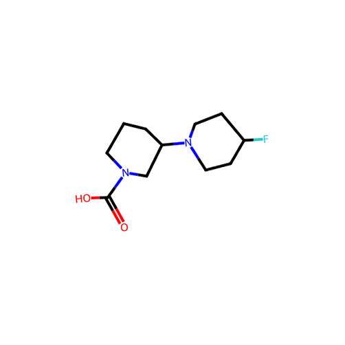 O=C(O)N1CCCC(N2CCC(F)CC2)C1